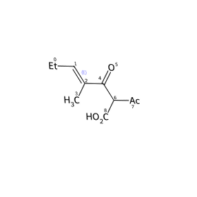 CC/C=C(\C)C(=O)C(C(C)=O)C(=O)O